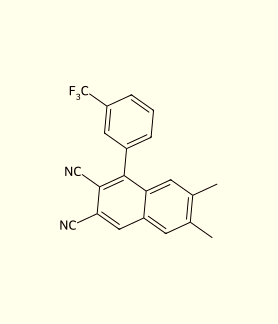 Cc1cc2cc(C#N)c(C#N)c(-c3cccc(C(F)(F)F)c3)c2cc1C